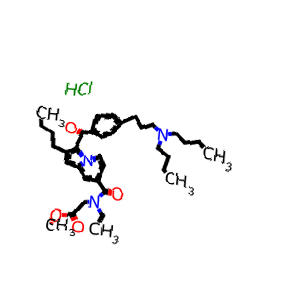 CCCCc1cc2cc(C(=O)N(CC)CC(=O)OC)ccn2c1C(=O)c1ccc(CCCN(CCCC)CCCC)cc1.Cl